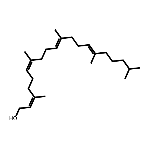 C/C(=C/CO)CC/C=C(/C)CC/C=C(\C)CC/C=C(\C)CCCC(C)C